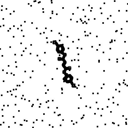 O=C(/C=C/C(=O)Oc1ccc(Cl)cc1)Oc1ccc(Cl)cc1